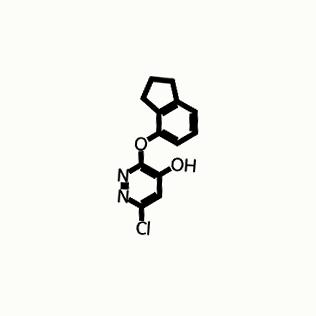 Oc1cc(Cl)nnc1Oc1cccc2c1CCC2